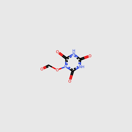 O=COn1c(=O)[nH]c(=O)[nH]c1=O